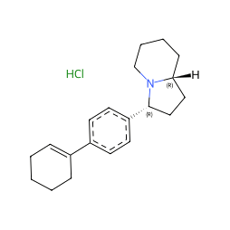 C1=C(c2ccc([C@H]3CC[C@H]4CCCCN43)cc2)CCCC1.Cl